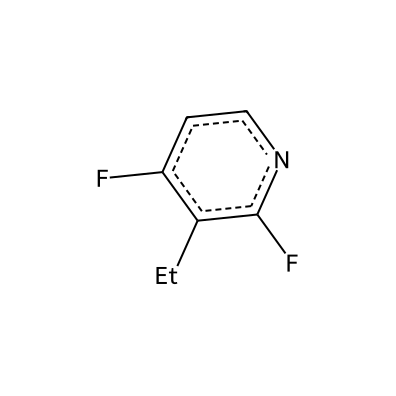 CCc1c(F)ccnc1F